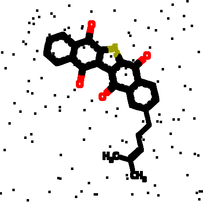 CC(C)=CCCc1ccc2c(=O)c3sc4c(=O)c5ccccc5c(=O)c4c3c(=O)c2c1